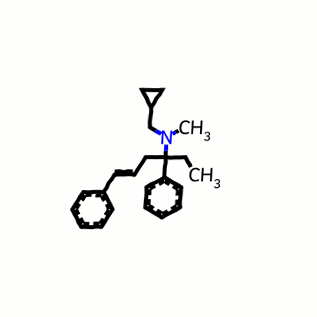 CCC(CC=Cc1ccccc1)(c1ccccc1)N(C)CC1CC1